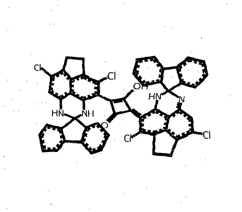 O=C1C(c2c(Cl)c3c4c(c(Cl)cc5c4c2NC2(N5)c4ccccc4-c4ccccc42)CC3)=C(O)/C1=c1/c(Cl)c2c3c(c(Cl)cc4c3c1NC1(N=4)c3ccccc3-c3ccccc31)CC2